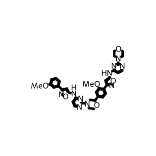 COc1cccc(-c2cc(Nc3ccnc(N4CCOC(c5ccc(-c6cc(Nc7ccnc(N8CCOCC8)n7)on6)c(OC)c5)C4)n3)on2)c1